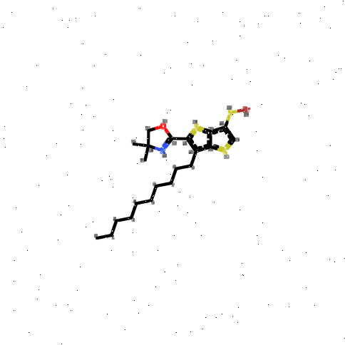 CCCCCCCCCCc1c(C2=NC(C)(C)CO2)sc2c(SBr)csc12